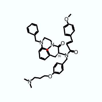 COc1ccc(C=CC(=O)N(Cc2ccc(OCCCN(C)C)cc2)[C@@H](Cc2ccccc2)C(=O)N2CCN(Cc3ccccc3)CC2)cc1